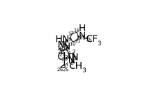 Cn1ncc(-c2nc(N[C@H]3CC[C@H](NCC(F)(F)F)CC3)ncc2Cl)c1CC1CC1